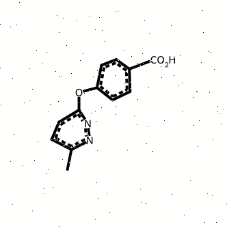 Cc1ccc(Oc2ccc(C(=O)O)cc2)nn1